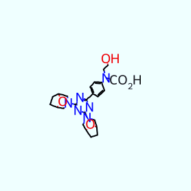 O=C(O)N(CCO)c1ccc(-c2nc(N3CC4CCC(C3)O4)nc(N3CC4CCC(C3)O4)n2)cc1